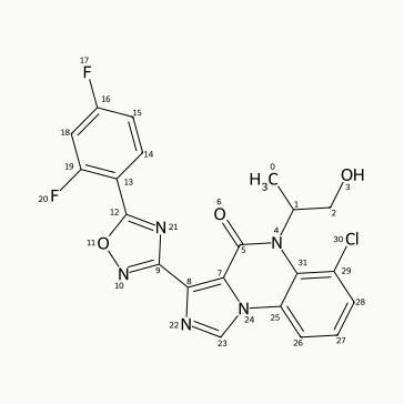 CC(CO)n1c(=O)c2c(-c3noc(-c4ccc(F)cc4F)n3)ncn2c2cccc(Cl)c21